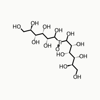 [O]=[Ti]([CH](O)[C@H](O)[C@@H](O)[C@H](O)[C@H](O)CO)[CH](O)[C@H](O)[C@@H](O)[C@H](O)[C@H](O)CO